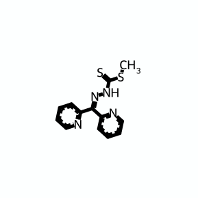 CSC(=S)NN=C(c1ccccn1)c1ccccn1